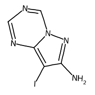 Nc1nn2cncnc2c1I